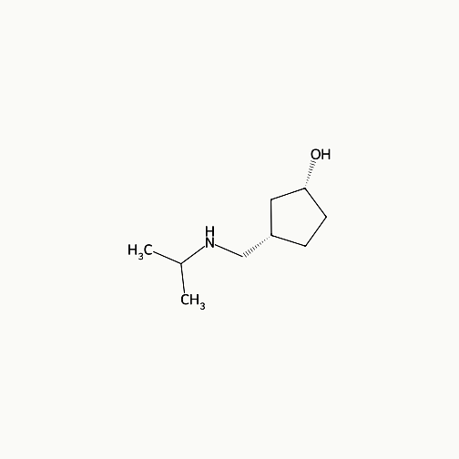 CC(C)NC[C@H]1CC[C@@H](O)C1